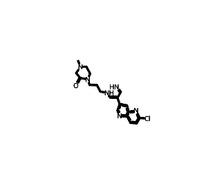 CN1CCN(CCCN/C=C(\C=N)c2cnc3ccc(Cl)nc3c2)C(=O)C1